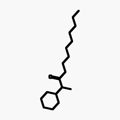 CCCCCCCCCC(=O)C(C)C1CCCCC1